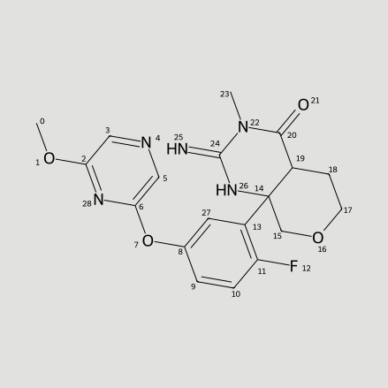 COc1cncc(Oc2ccc(F)c(C34COCCC3C(=O)N(C)C(=N)N4)c2)n1